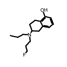 CCCN(CCCF)C1CCc2c(O)cccc2C1